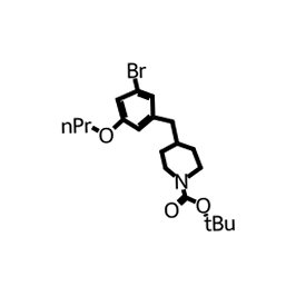 CCCOc1cc(Br)cc(CC2CCN(C(=O)OC(C)(C)C)CC2)c1